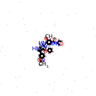 COc1cc(C(=O)NC2CCOC2)ccc1Nc1nc(OC2CCCC2)c2c(-c3ccc4nc(C)oc4c3)c[nH]c2n1